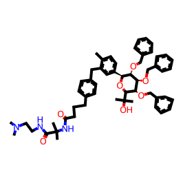 Cc1ccc([C@@H]2OC(C(C)(C)O)[C@@H](OCc3ccccc3)[C@H](OCc3ccccc3)[C@H]2OCc2ccccc2)cc1Cc1ccc(CCCC(=O)NC(C)(C)C(=O)NCCN(C)C)cc1